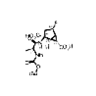 C[C@H](NC(=O)OC(C)(C)C)C(=O)N[C@@]1(C(=O)O)C[C@@H](F)C2[C@H](C(=O)O)[C@H]21